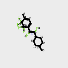 CC1=CC=C(/C(F)=C(\F)C2CCC(C)CC2)C(F)(F)C1(F)F